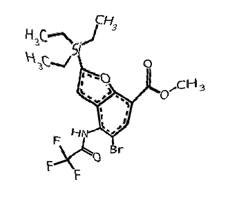 CC[Si](CC)(CC)c1cc2c(NC(=O)C(F)(F)F)c(Br)cc(C(=O)OC)c2o1